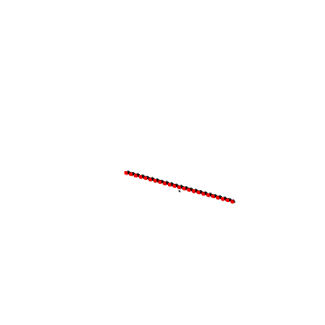 CCCCCCCCCCCCCCCCCCCCCC[CH]CCCCCCCCCCCCCCCCCCCCCCC